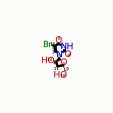 O=c1[nH]c(=O)n(C2O[C@H](CO)CC2O)cc1Br